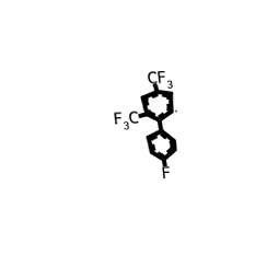 Fc1ccc(-c2[c]cc(C(F)(F)F)cc2C(F)(F)F)cc1